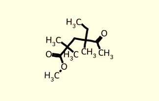 CCC(C)(CC(C)(C)C(=O)OC)C(C)=O